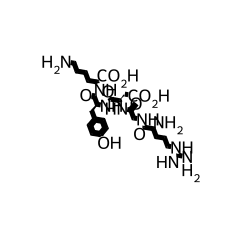 N=C(N)NCCC[C@H](N)C(=O)NCC(=O)N[C@@H](CC(=O)O)C(=O)N[C@@H](Cc1ccc(O)cc1)C(=O)N[C@@H](CCCCN)C(=O)O